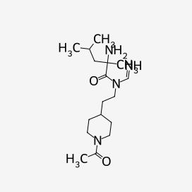 CC(=O)N1CCC(CCN(C=N)C(=O)C(C)(N)CC(C)C)CC1